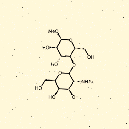 CO[C@H]1O[C@H](CO)[C@@H](O[C@@H]2O[C@H](CO)[C@H](O)[C@H](O)[C@H]2NC(C)=O)[C@H](O)[C@H]1O